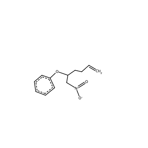 C=CCCC(C[N+](=O)[O-])Oc1ccccc1